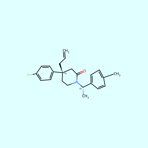 C=CC[C@]1(c2ccc(F)cc2)CCN([C@@H](C)c2ccc(C)cc2)C(=O)C1